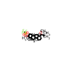 C=C(C)[C@H](OC)[C@H]1CCC[C@]2(C)[C@@H]1CC[C@@H]1[C@@]3(C)CC=C(OS(=O)(=O)C(F)(F)F)C(C)(C)[C@@H]3CC[C@]12C